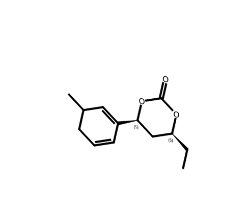 CC[C@H]1C[C@@H](C2=CC(C)CC=C2)OC(=O)O1